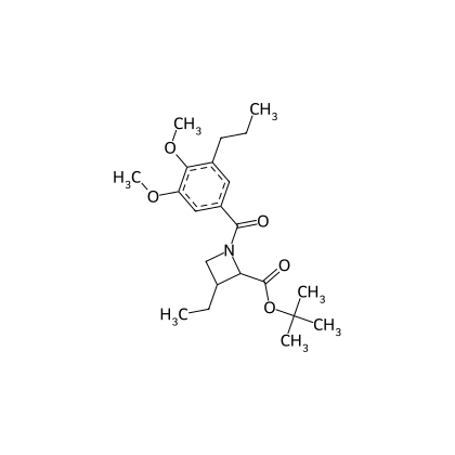 CCCc1cc(C(=O)N2CC(CC)C2C(=O)OC(C)(C)C)cc(OC)c1OC